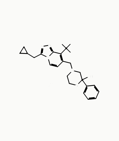 CC1(c2ccccc2)CN(Cc2ccn3c(CC4CC4)nnc3c2C(F)(F)F)CCN1.Cl.O